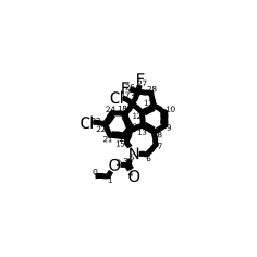 CCOC(=O)N1CCc2ccc3c(c2CC1)C(Cl)(c1cccc(Cl)c1)C(F)(F)C3